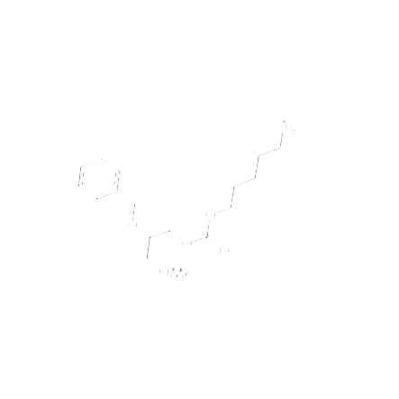 COCC(COC(=O)OCCCCCC(C)=O)OCc1ccccc1